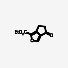 CCOC(=O)c1occ2c1CCC2=O